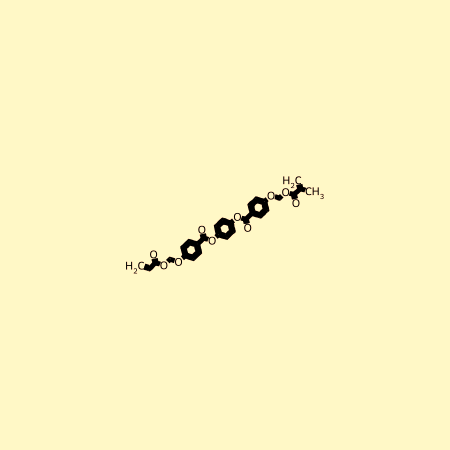 C=CC(=O)OCOc1ccc(C(=O)Oc2ccc(OC(=O)c3ccc(OCOC(=O)C(=C)C)cc3)cc2)cc1